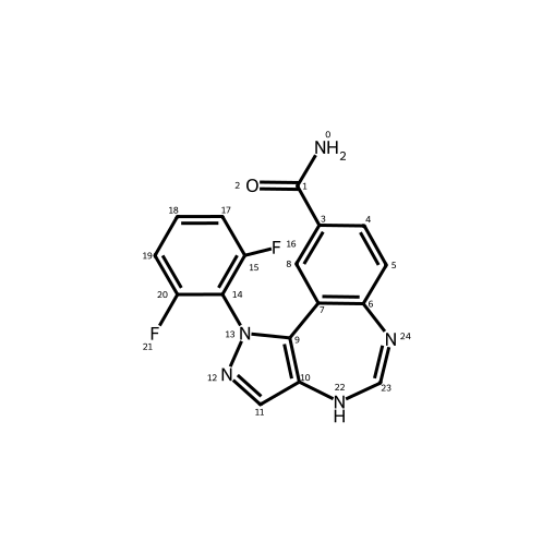 NC(=O)c1ccc2c(c1)-c1c(cnn1-c1c(F)cccc1F)NC=N2